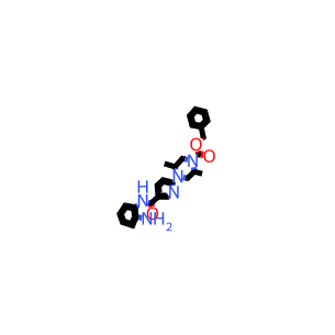 CC1CN(c2ccc(C(=O)Nc3ccccc3N)cn2)C(C)CN1C(=O)OCc1ccccc1